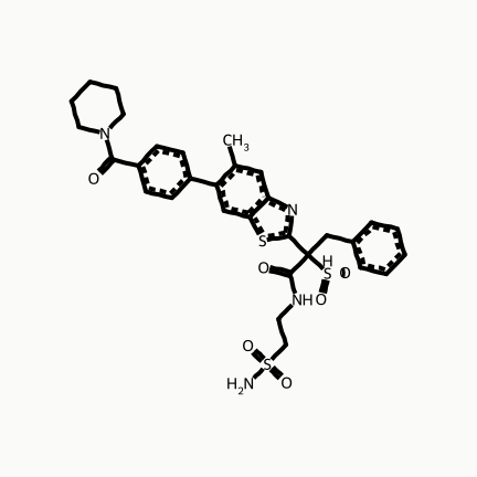 Cc1cc2nc(C(Cc3ccccc3)(C(=O)NCCS(N)(=O)=O)[SH](=O)=O)sc2cc1-c1ccc(C(=O)N2CCCCC2)cc1